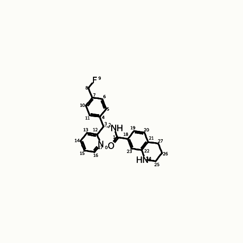 O=C(N[C@@H](c1ccc(CF)cc1)c1ccccn1)c1ccc2c(c1)NCCC2